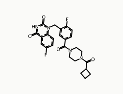 O=C(c1ccc(F)c(Cn2c(=O)[nH]c(=O)c3cc(F)ccc32)c1)N1CCN(C(=O)C2CCC2)CC1